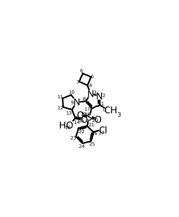 Cc1nn(C2CCC2)c(N2CCCC2C(=O)O)c1S(=O)(=O)c1ccccc1Cl